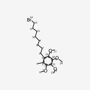 COc1c(C)c(CCCCCCCCBr)c(OC)c(OC)c1OC